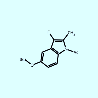 CC(=O)n1c(C)c(F)c2cc(OC(C)(C)C)ccc21